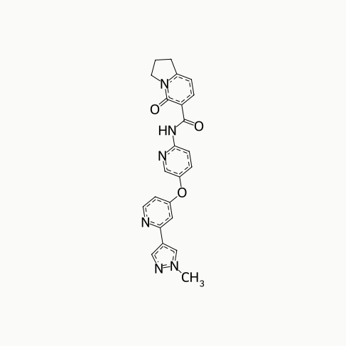 Cn1cc(-c2cc(Oc3ccc(NC(=O)c4ccc5n(c4=O)CCC5)nc3)ccn2)cn1